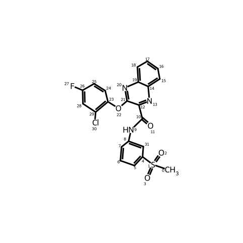 CS(=O)(=O)c1cccc(NC(=O)c2nc3ccccc3nc2Oc2ccc(F)cc2Cl)c1